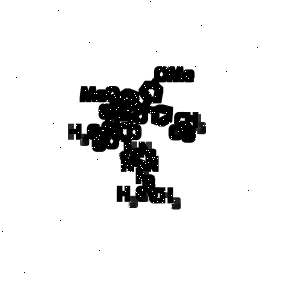 COc1ccc(C(OC[C@H]2O[C@@H](n3cnc4c(N=CN(C)C)ncnc43)[C@H](OS(C)(=O)=O)[C@@H]2OS(C)(=O)=O)(c2ccccc2)c2ccc(OC)cc2)cc1.CS(=O)(=O)Cl